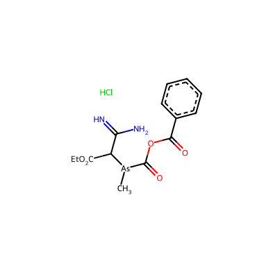 CCOC(=O)C(C(=N)N)[As](C)C(=O)OC(=O)c1ccccc1.Cl